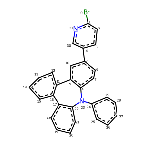 Brc1ccc(-c2ccc3c(c2)-c2ccccc2-c2ccccc2N3c2ccccc2)cn1